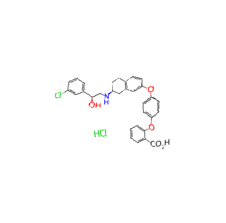 Cl.O=C(O)c1ccccc1Oc1ccc(Oc2ccc3c(c2)C[C@@H](NC[C@@H](O)c2cccc(Cl)c2)CC3)cc1